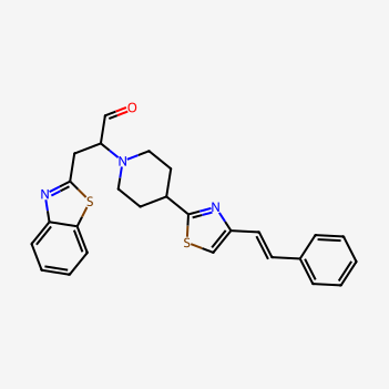 O=CC(Cc1nc2ccccc2s1)N1CCC(c2nc(C=Cc3ccccc3)cs2)CC1